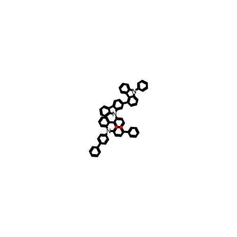 c1ccc(-c2ccc(N(c3ccc(-c4ccccc4)cc3)c3ccccc3-c3ccccc3-n3c4ccccc4c4ccc(-c5cccc6c5c5ccccc5n6-c5ccccc5)cc43)cc2)cc1